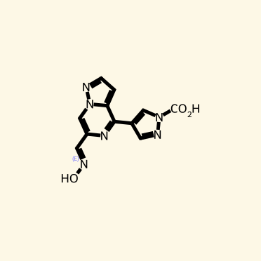 O=C(O)n1cc(-c2nc(/C=N/O)cn3nccc23)cn1